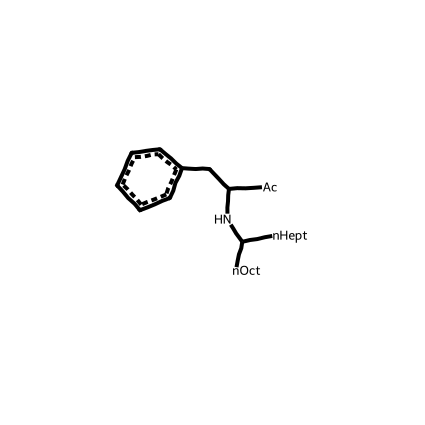 CCCCCCCCC(CCCCCCC)NC(Cc1ccccc1)C(C)=O